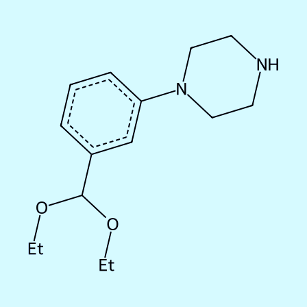 CCOC(OCC)c1cccc(N2CCNCC2)c1